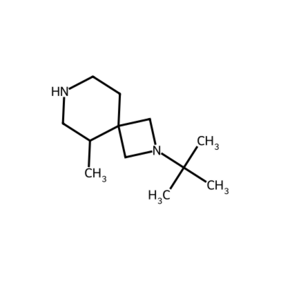 CC1CNCCC12CN(C(C)(C)C)C2